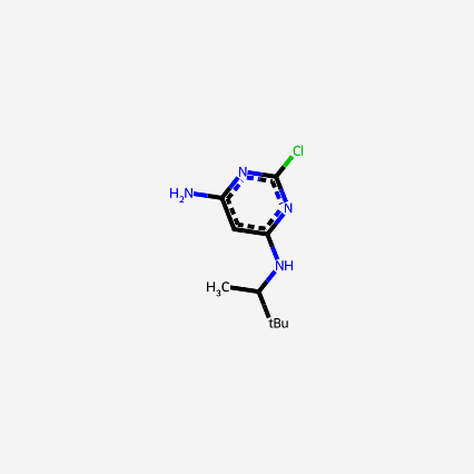 CC(Nc1cc(N)nc(Cl)n1)C(C)(C)C